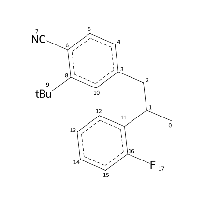 CC(Cc1ccc(C#N)c(C(C)(C)C)c1)c1ccccc1F